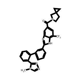 Cn1cnnc1-c1ccccc1-c1cccc(-c2nc3cc(C(=O)N4CCC5(CC5)C4)cc(C(F)(F)F)c3[nH]2)c1